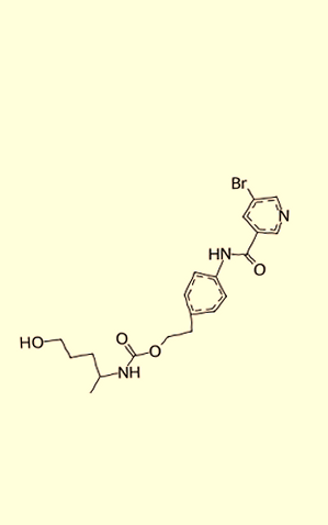 CC(CCCO)NC(=O)OCCc1ccc(NC(=O)c2cncc(Br)c2)cc1